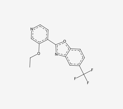 CCOc1cnccc1-c1nc2cc(C(F)(F)F)ccc2o1